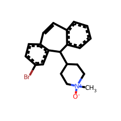 C[N+]1([O-])CCC(C2c3ccccc3C=Cc3ccc(Br)cc32)CC1